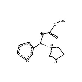 CC(C)(C)OC(=O)NC(c1cccnc1)[C@@H]1CCNC1